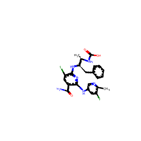 Cc1ncc(Nc2nc(N[C@H](Cc3ccccc3)[C@H](C)NC(=O)O)c(F)cc2C(N)=O)cc1F